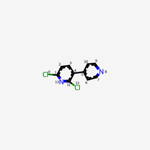 Clc1ccc(-c2ccncc2)c(Cl)n1